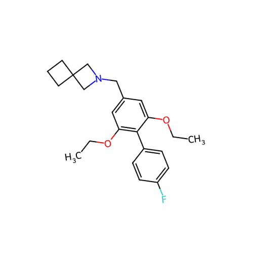 CCOc1cc(CN2CC3(CCC3)C2)cc(OCC)c1-c1ccc(F)cc1